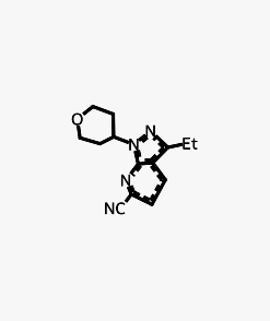 CCc1nn(C2CCOCC2)c2nc(C#N)ccc12